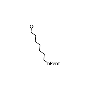 CCCCCCCCCCCC[O]